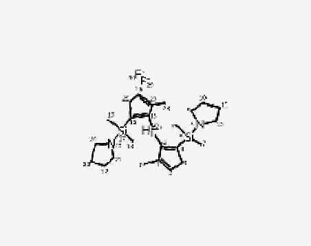 CC1=CCC([Si](C)(C)N2CCCC2)=[C]1[Hf+2][C]1=C([Si](C)(C)N2CCCC2)CC=C1C.[F-].[F-]